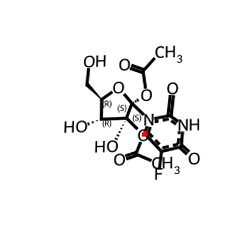 CC(=O)O[C@@]1(n2cc(F)c(=O)[nH]c2=O)O[C@H](CO)[C@@H](O)[C@]1(O)OC(C)=O